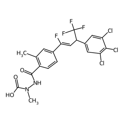 Cc1cc(C(F)=CC(c2cc(Cl)c(Cl)c(Cl)c2)C(F)(F)F)ccc1C(=O)NN(C)C(=O)O